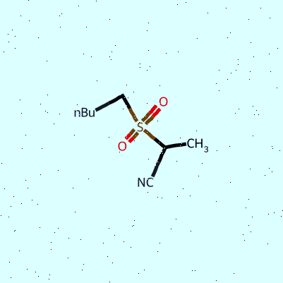 CCCCCS(=O)(=O)C(C)C#N